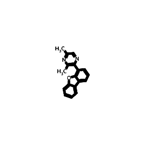 Cc1cnc(-c2cccc3c2oc2ccccc23)c(C)n1